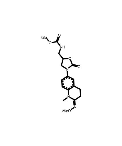 CON=C1CCc2cc(N3CC(CNC(=O)OC(C)(C)C)OC3=O)ccc2N1C